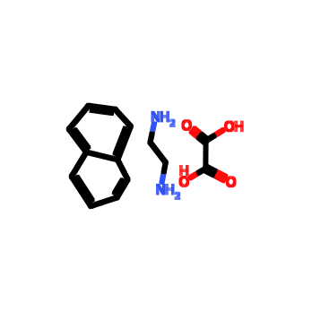 NCCN.O=C(O)C(=O)O.c1ccc2ccccc2c1